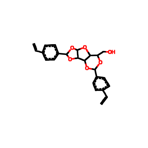 C=Cc1ccc(C2OC3OC4C(CO)OC(c5ccc(C=C)cc5)OC4C3O2)cc1